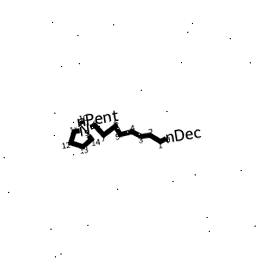 CCCCCCCCCCCCCCCCCC[N+]1(CCCCC)CCCC1